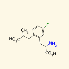 CC(Cc1ccc(F)cc1C[C@H](N)C(=O)O)C(=O)O